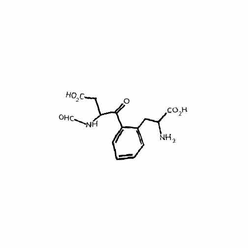 NC(Cc1ccccc1C(=O)C(CC(=O)O)NC=O)C(=O)O